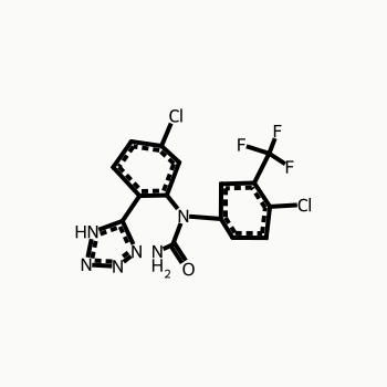 NC(=O)N(c1ccc(Cl)c(C(F)(F)F)c1)c1cc(Cl)ccc1-c1nnn[nH]1